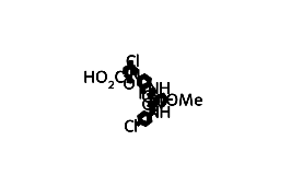 CO[C@@H]1C[C@H](C(=O)Nc2ccc(-n3cc(Cl)cc(C(=O)O)c3=O)cc2F)N(C(=O)Nc2ccc(Cl)cc2)C1